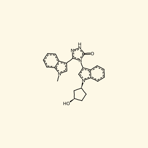 Cn1cc(-c2n[nH]c(=O)n2-c2cn([C@H]3CC[C@@H](O)C3)c3ccccc23)c2ccccc21